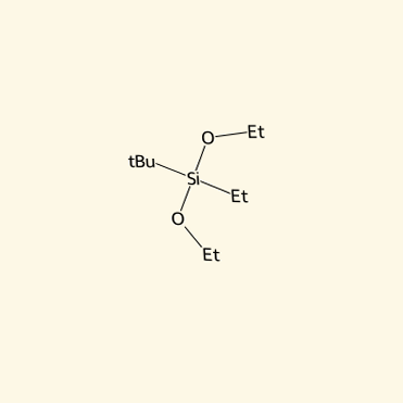 CCO[Si](CC)(OCC)C(C)(C)C